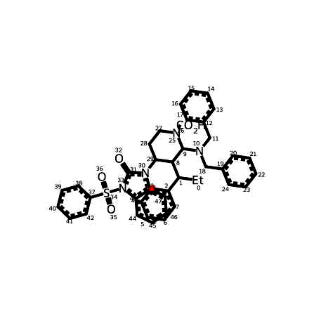 CCC(c1ccccc1)C1C(N(Cc2ccccc2)Cc2ccccc2)N(C(=O)O)CCC1n1c(=O)n(S(=O)(=O)c2ccccc2)c2ccccc21